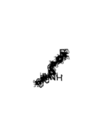 CC(C)(C)OC(=O)N1CC(C)(C(=O)Nc2c[nH]c3ccc(OC4CC(c5ccc(C(F)(F)F)cc5)C4)cc23)C1